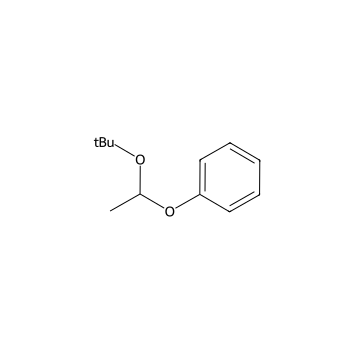 CC(Oc1ccccc1)OC(C)(C)C